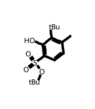 Cc1ccc(S(=O)(=O)OC(C)(C)C)c(O)c1C(C)(C)C